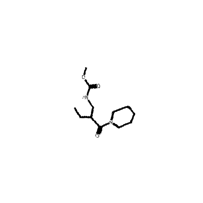 CCC(CNC(=O)OC)C(=O)N1CCCCC1